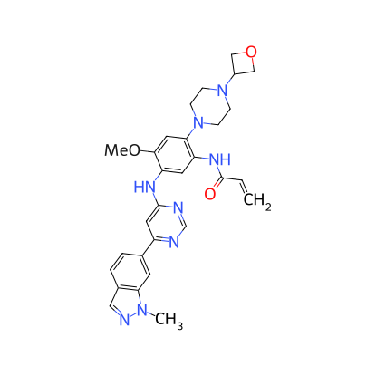 C=CC(=O)Nc1cc(Nc2cc(-c3ccc4cnn(C)c4c3)ncn2)c(OC)cc1N1CCN(C2COC2)CC1